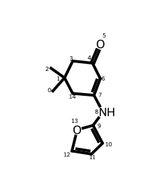 CC1(C)CC(=O)C=C(Nc2ccco2)C1